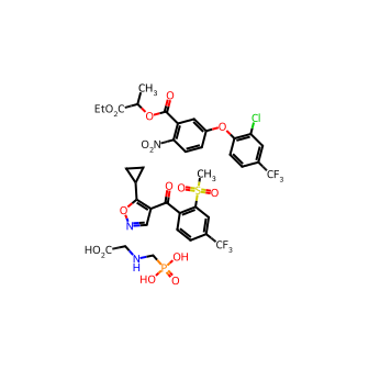 CCOC(=O)C(C)OC(=O)c1cc(Oc2ccc(C(F)(F)F)cc2Cl)ccc1[N+](=O)[O-].CS(=O)(=O)c1cc(C(F)(F)F)ccc1C(=O)c1cnoc1C1CC1.O=C(O)CNCP(=O)(O)O